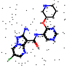 Nc1nn2cc(F)cnc2c1C(=O)Nc1cncnc1O[C@@H]1CCCNC1